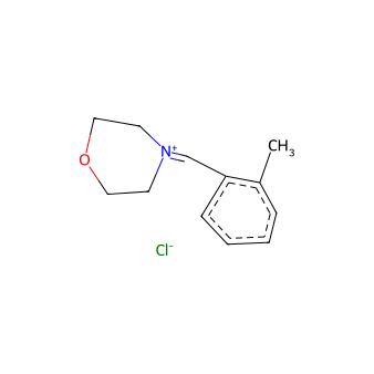 Cc1ccccc1C=[N+]1CCOCC1.[Cl-]